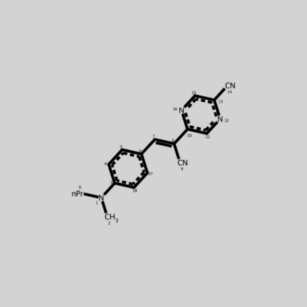 CCCN(C)c1ccc(/C=C(\C#N)c2cnc(C#N)cn2)cc1